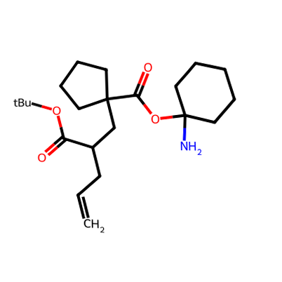 C=CCC(CC1(C(=O)OC2(N)CCCCC2)CCCC1)C(=O)OC(C)(C)C